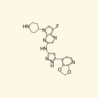 Fc1cn(C2CCNCC2)c2nc(Nc3cc(-c4ccnc5c4OCCO5)[nH]n3)cnc12